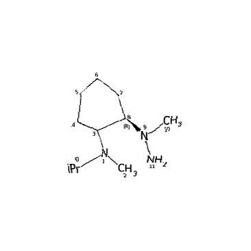 CC(C)N(C)C1CCCC[C@H]1N(C)N